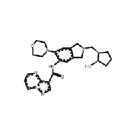 O=C(Nc1cc2c(cc1N1CCOCC1)CN(C[C@H]1CCC[C@H]1O)C2)c1cnn2cccnc12